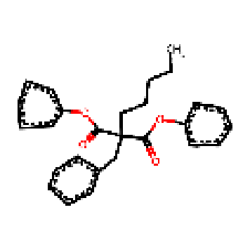 CCCCCC(Cc1ccccc1)(C(=O)Oc1ccccc1)C(=O)Oc1ccccc1